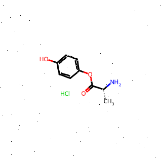 C[C@@H](N)C(=O)Oc1ccc(O)cc1.Cl